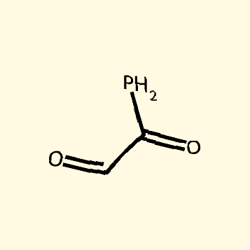 O=CC(=O)P